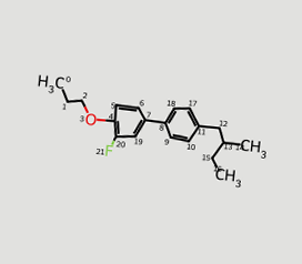 CCCOc1ccc(-c2ccc(CC(C)CC)cc2)cc1F